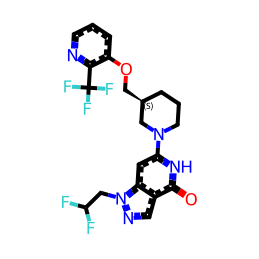 O=c1[nH]c(N2CCC[C@H](COc3cccnc3C(F)(F)F)C2)cc2c1cnn2CC(F)F